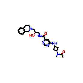 CC(=O)N(C)[C@H]1C[C@H](Nc2cc(C(=O)NC[C@H](O)CN3CCc4ccccc4C3)ncn2)C1